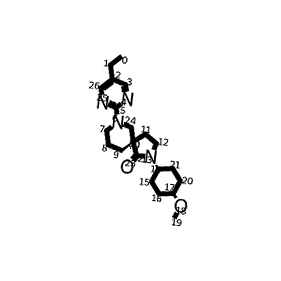 CCc1cnc(N2CCC[C@]3(CCN([C@H]4CC[C@H](OC)CC4)C3=O)C2)nc1